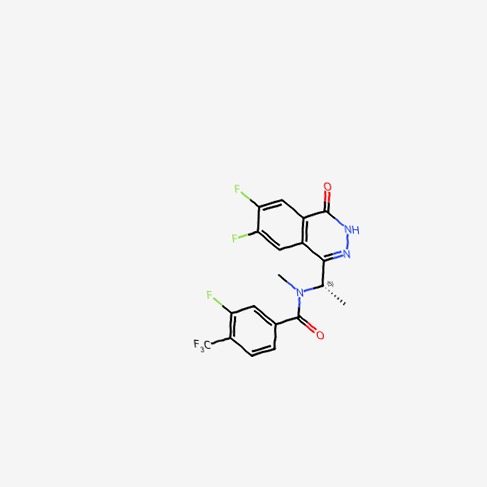 C[C@@H](c1n[nH]c(=O)c2cc(F)c(F)cc12)N(C)C(=O)c1ccc(C(F)(F)F)c(F)c1